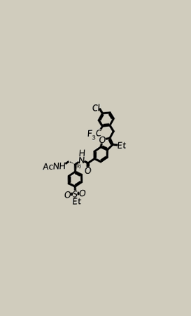 CCc1c(Cc2ccc(Cl)cc2C(F)(F)F)oc2cc(C(=O)N[C@@H](CNC(C)=O)c3ccc(S(=O)(=O)CC)cc3)ccc12